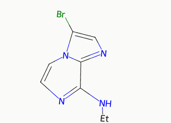 CCNc1nccn2c(Br)cnc12